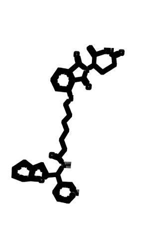 C=C1NC(=O)CCC1N1C(=O)c2cccc(SCCCCCCC(=O)NC(c3cccnc3)c3cc4ccccc4o3)c2C1=O